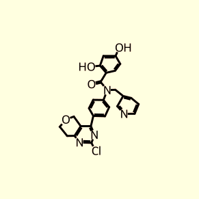 O=C(c1ccc(O)cc1O)N(Cc1cccnc1)c1ccc(-c2nc(Cl)nc3c2COCC3)cc1